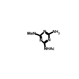 CNc1nc(N)nc(NC(C)=O)n1